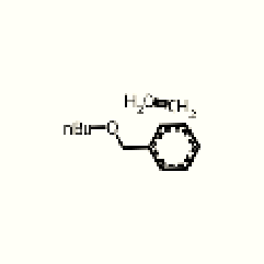 C=C.CCCCOCc1ccccc1